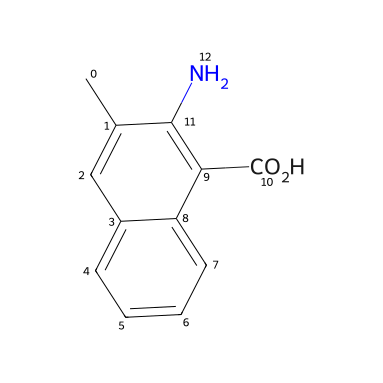 Cc1cc2ccccc2c(C(=O)O)c1N